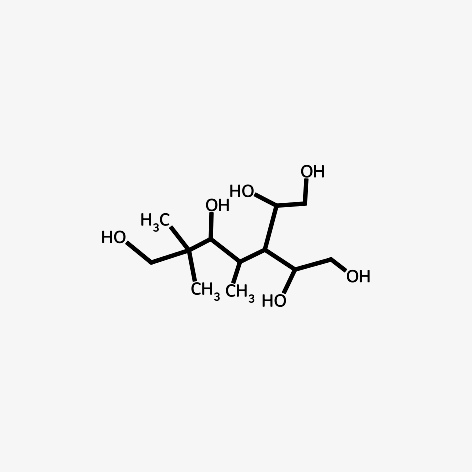 CC(C(C(O)CO)C(O)CO)C(O)C(C)(C)CO